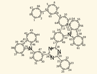 c1ccc(-c2cccc(-c3cccc(-c4ccc(-c5nc(-c6ccccc6)nc(-c6cccc(-n7c8ccccc8c8ccccc87)c6)n5)cc4-n4c5ccccc5c5ccccc54)c3)c2)cc1